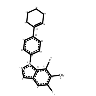 Oc1c(F)cc2cnn(-c3ccc(C4=CCCCC4)cc3)c2c1F